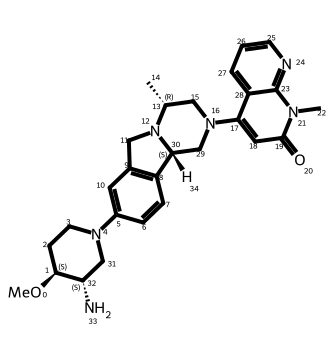 CO[C@H]1CCN(c2ccc3c(c2)CN2[C@H](C)CN(c4cc(=O)n(C)c5ncccc45)C[C@H]32)C[C@@H]1N